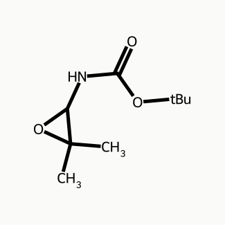 CC(C)(C)OC(=O)NC1OC1(C)C